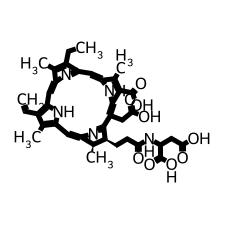 C=Cc1c(C)c2cc3nc(c(CC(=O)O)c4[nH]c(cc5nc(cc1[nH]2)C(C)=C5CC)c(C)c4C(=O)O)[C@@H](CCC(=O)NC(CC(=O)O)C(=O)O)[C@@H]3C